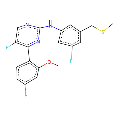 COc1cc(F)ccc1-c1nc(Nc2cc(F)cc(CSC)c2)ncc1F